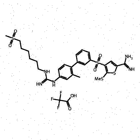 CSc1sc(C(=N)N)cc1S(=O)(=O)c1cccc(-c2ccc(NC(=N)NCCCCCCS(C)(=O)=O)cc2C)c1.O=C(O)C(F)(F)F